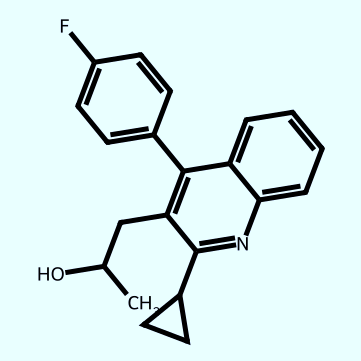 CC(O)Cc1c(C2CC2)nc2ccccc2c1-c1ccc(F)cc1